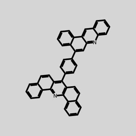 c1ccc2nc3cc(-c4ccc(-c5c6ccc7ccccc7c6nc6c5ccc5ccccc56)cc4)c4ccccc4c3cc2c1